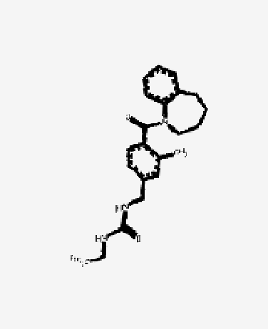 CCOC(=O)CNC(=O)NCc1ccc(C(=O)N2CCCCc3ccccc32)c(C)c1